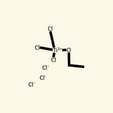 CC[O][Ti+3]([Cl])([Cl])[Cl].[Cl-].[Cl-].[Cl-]